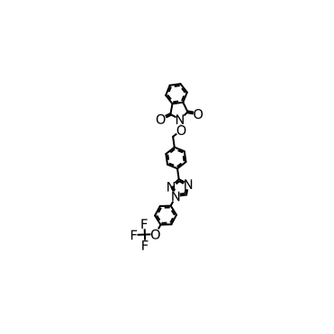 O=C1c2ccccc2C(=O)N1OCc1ccc(-c2ncn(-c3ccc(OC(F)(F)F)cc3)n2)cc1